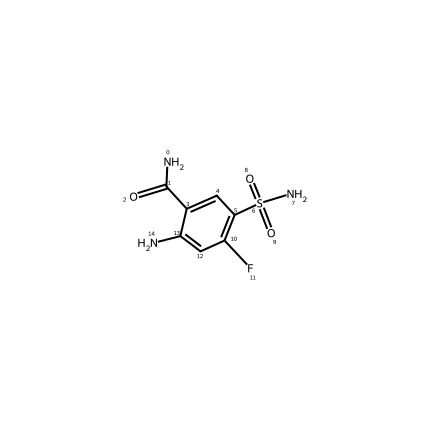 NC(=O)c1cc(S(N)(=O)=O)c(F)cc1N